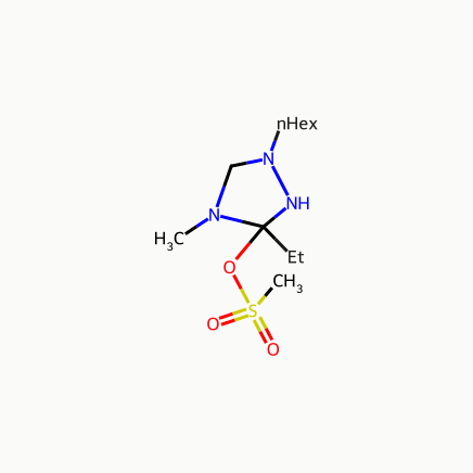 CCCCCCN1CN(C)C(CC)(OS(C)(=O)=O)N1